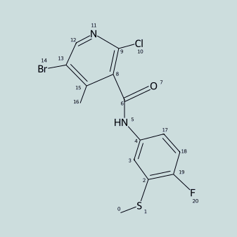 CSc1cc(NC(=O)c2c(Cl)ncc(Br)c2C)ccc1F